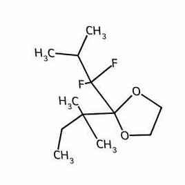 CCC(C)(C)C1(C(F)(F)C(C)C)OCCO1